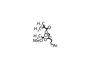 C=C(C)C(=O)OCC(CSC(C)=O)OC(C)(C)OC